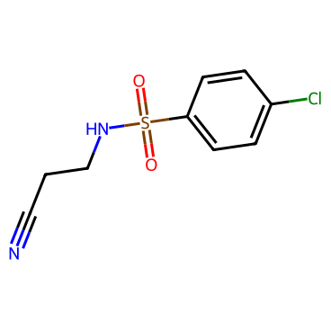 N#CCCNS(=O)(=O)c1ccc(Cl)cc1